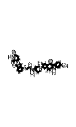 CCc1cc2c(cc1N1CCC(NC(=O)CSc3cccc4c3CN(C3CCC(=O)NC3=O)C4=O)CC1)C(C)(C)c1[nH]c3cc(C#N)ccc3c1C2=O